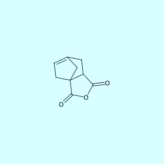 O=C1OC(=O)C23CC=C(CC12)C3